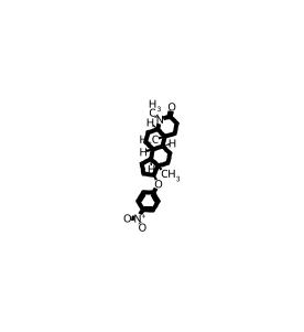 CN1C(=O)CC[C@]2(C)[C@H]3CC[C@]4(C)[C@@H](Oc5ccc([N+](=O)[O-])cc5)CC[C@H]4[C@@H]3CC[C@@H]12